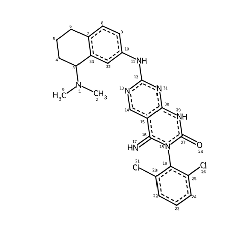 CN(C)C1CCCc2ccc(Nc3ncc4c(=N)n(-c5c(Cl)cccc5Cl)c(=O)[nH]c4n3)cc21